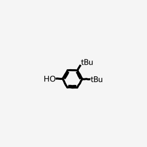 CC(C)(C)c1ccc(O)cc1C(C)(C)C